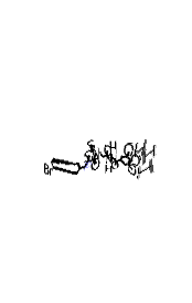 O=C(CCN1C(=O)/C(=C/c2cccc(Br)c2)SC1=S)NNC(=O)c1cc(O)c(O)c(O)c1